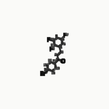 O=C(/C=C/c1cc(F)cc(F)c1F)c1ccc(Br)cc1